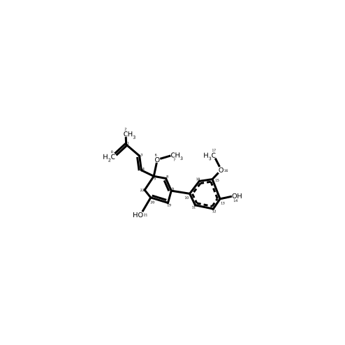 C=C(C)C=CC1(OC)C=C(c2ccc(O)c(OC)c2)C=C(O)C1